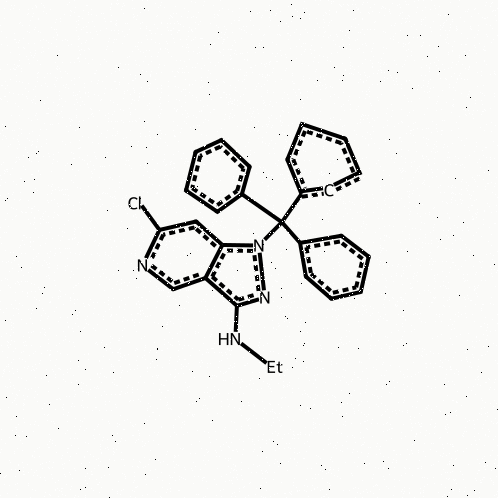 CCNc1nn(C(c2ccccc2)(c2ccccc2)c2ccccc2)c2cc(Cl)ncc12